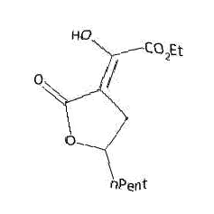 CCCCCC1CC(=C(O)C(=O)OCC)C(=O)O1